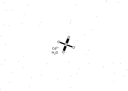 O.O=S(=O)([O-])[O-].[Cd+2]